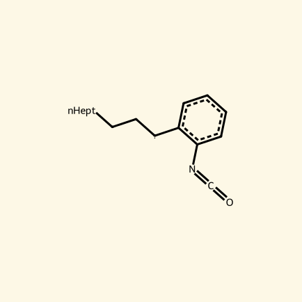 CCCCCCCCC[CH]c1ccccc1N=C=O